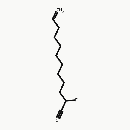 C#CC(F)CCCCCCCCC=C